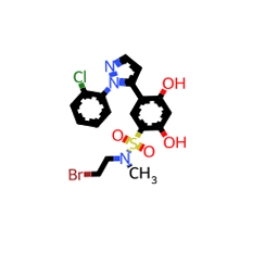 CN(CCBr)S(=O)(=O)c1cc(-c2ccnn2-c2ccccc2Cl)c(O)cc1O